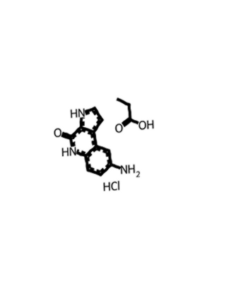 CCC(=O)O.Cl.Nc1ccc2[nH]c(=O)c3[nH]ccc3c2c1